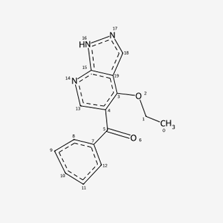 CCOc1c(C(=O)c2ccccc2)cnc2[nH]ncc12